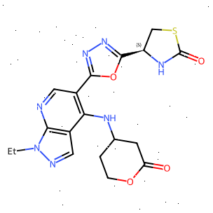 CCn1ncc2c(NC3CCOC(=O)C3)c(-c3nnc([C@H]4CSC(=O)N4)o3)cnc21